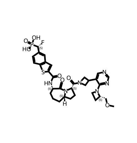 COC[C@@H]1CCN1c1ncncc1C1CN(C(=O)[C@@H]2CC[C@@H]3CCC[C@H](NC(=O)c4cc5cc([C@@H](F)P(=O)(O)O)ccc5s4)C(=O)N32)C1